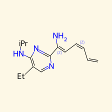 C=C/C=C\C=C(/N)c1ncc(CC)c(NC(C)C)n1